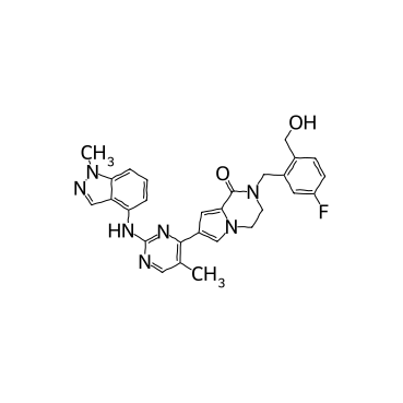 Cc1cnc(Nc2cccc3c2cnn3C)nc1-c1cc2n(c1)CCN(Cc1cc(F)ccc1CO)C2=O